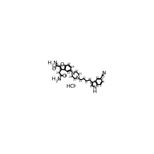 Cl.N#Cc1ccc2[nH]cc(CCCCN3CCN(c4ccc5oc(C(N)=O)c(CC(N)=O)c5c4)CC3)c2c1